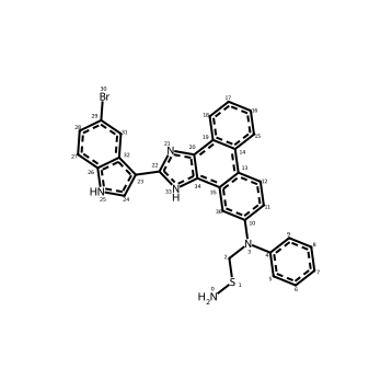 NSCN(c1ccccc1)c1ccc2c3ccccc3c3nc(-c4c[nH]c5ccc(Br)cc45)[nH]c3c2c1